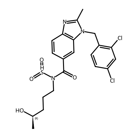 Cc1nc2ccc(C(=O)N(CCC[C@@H](C)O)[SH](=O)=O)cc2n1Cc1ccc(Cl)cc1Cl